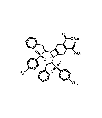 COC(=O)C1=C(C(=O)OC)CC2=C(C1)[C@H](N(Cc1ccccc1)S(=O)(=O)c1ccc(C)cc1)[C@H]2N(Cc1ccccc1)S(=O)(=O)c1ccc(C)cc1